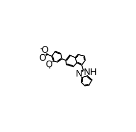 COC(=O)c1ccc(-c2ccc3c(-c4nc5ccccc5[nH]4)cccc3c2)cc1OC